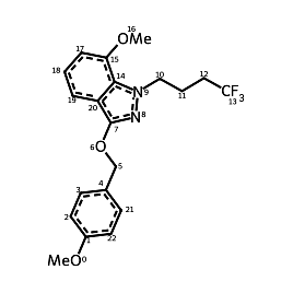 COc1ccc(COc2nn(CCCC(F)(F)F)c3c(OC)cccc23)cc1